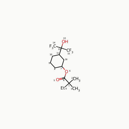 CCC(C)(C)C(=O)OC1CCCC(C(O)(C(F)(F)F)C(F)(F)F)C1